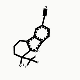 N#Cc1ccc2[nH]c3c(c2c1)CCCC3(O)C(F)(F)F